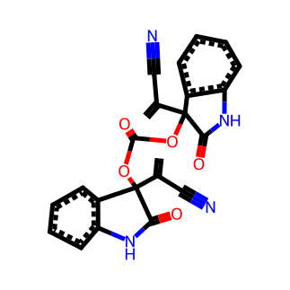 C=C(C#N)C1(OC(=O)OC2(C(=C)C#N)C(=O)Nc3ccccc32)C(=O)Nc2ccccc21